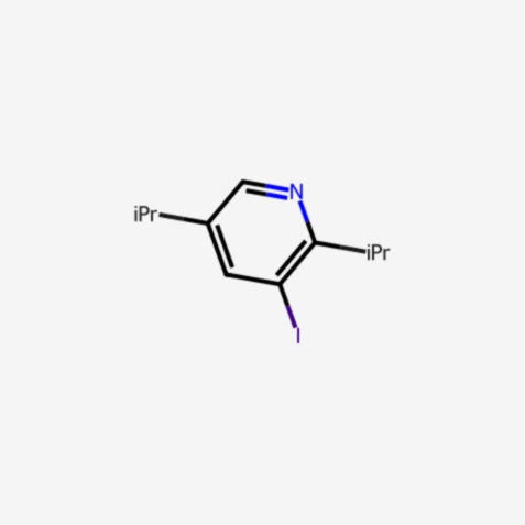 CC(C)c1cnc(C(C)C)c(I)c1